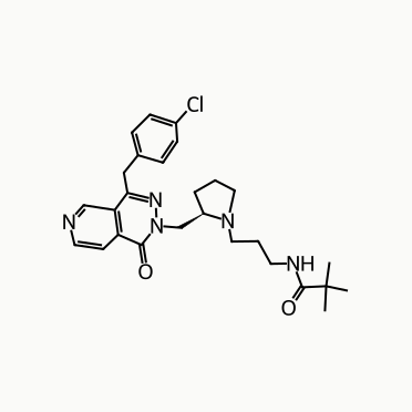 CC(C)(C)C(=O)NCCCN1CCC[C@@H]1Cn1nc(Cc2ccc(Cl)cc2)c2cnccc2c1=O